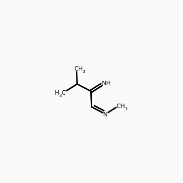 C/N=C\C(=N)C(C)C